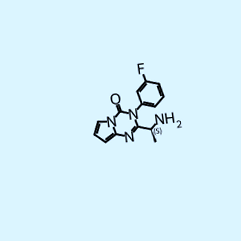 C[C@H](N)c1nc2cccn2c(=O)n1-c1cccc(F)c1